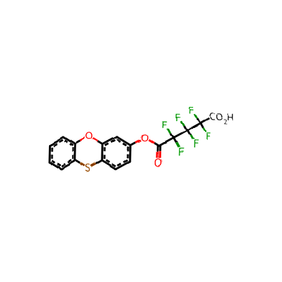 O=C(O)C(F)(F)C(F)(F)C(F)(F)C(=O)Oc1ccc2c(c1)Oc1ccccc1S2